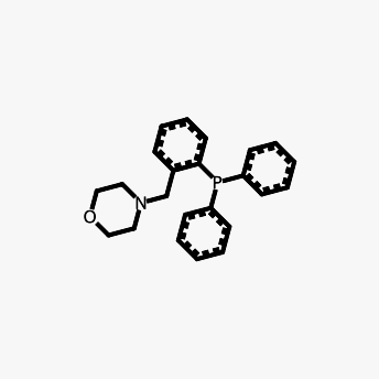 c1ccc(P(c2ccccc2)c2ccccc2CN2CCOCC2)cc1